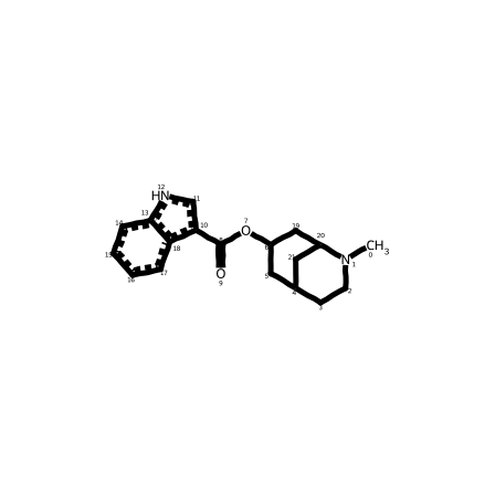 CN1CCC2CC(OC(=O)c3c[nH]c4ccccc34)CC1C2